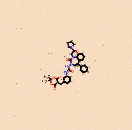 CC1(C)OC(=O)C(Cc2cccc(NC(=O)NN3C=C(c4ccccc4)c4ccccc4N(CC(=O)N4CCCC4)C3=O)c2)C(=O)O1